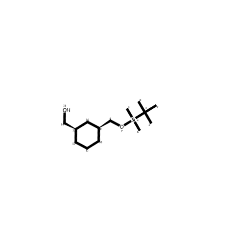 CC(C)(C)[Si](C)(C)OC[C@H]1CCC[C@@H](CO)C1